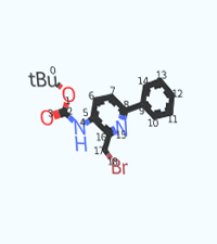 CC(C)(C)OC(=O)Nc1ccc(-c2ccccc2)nc1CBr